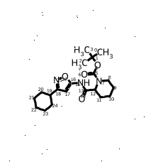 CC(C)(C)OC(=O)N1CCCCC1C(=O)Nc1cc(C2CCCCC2)no1